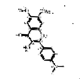 COc1cc2oc(-c3ccc(N(C)C)cc3)c(O)c(=O)c2cc1OC